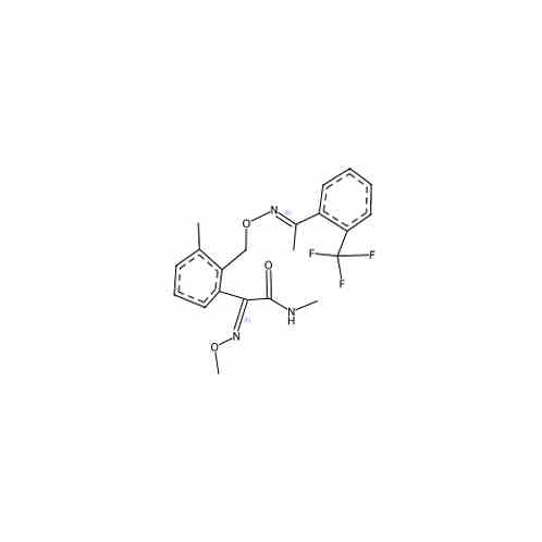 CNC(=O)/C(=N/OC)c1cccc(C)c1CO/N=C(\C)c1ccccc1C(F)(F)F